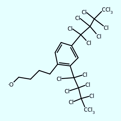 [O]CCCCc1ccc(C(Cl)(Cl)C(Cl)(Cl)C(Cl)(Cl)C(Cl)(Cl)Cl)cc1C(Cl)(Cl)C(Cl)(Cl)C(Cl)(Cl)C(Cl)(Cl)Cl